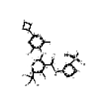 Cc1nc(C2CCC2)cc(F)c1Oc1nnc(C(F)(F)F)c(C)c1C(=O)Nc1cccc(S(C)(=N)=O)c1